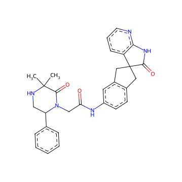 CC1(C)NCC(c2ccccc2)N(CC(=O)Nc2ccc3c(c2)CC2(C3)C(=O)Nc3ncccc32)C1=O